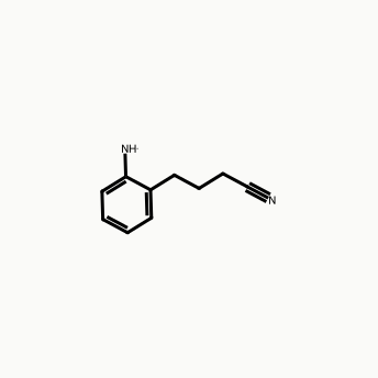 N#CCCCc1ccccc1[NH]